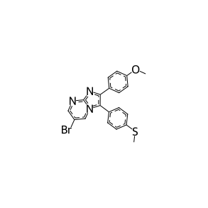 COc1ccc(-c2nc3ncc(Br)cn3c2-c2ccc(SC)cc2)cc1